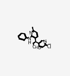 Cc1ccc(C(CC=O)c2ccc(Cl)nc2)c(Nc2ccccc2)n1